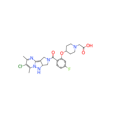 CC1=NC2=C3CN(C(=O)c4ccc(F)cc4OC4CCN(CC(=O)O)CC4)CC3NN2C(C)=C1Cl